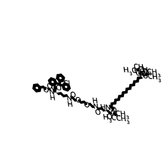 CC(C)(C)OC(=O)[C@H](CCC(=O)NCCOCCOCC(=O)NCCCC[C@H](NC(=O)OCc1ccccc1)C(=O)OC(c1ccccc1)(c1ccccc1)c1ccccc1Cl)NC(=O)CCCCCCCCCCCCCCCCP(=O)(OC(C)(C)C)OC(C)(C)C